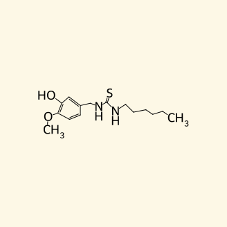 CCCCCCNC(=S)NCc1ccc(OC)c(O)c1